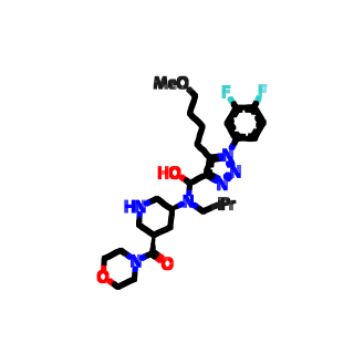 COCCCCc1c(C(O)N(CC(C)C)[C@@H]2CNC[C@H](C(=O)N3CCOCC3)C2)nnn1-c1ccc(F)c(F)c1